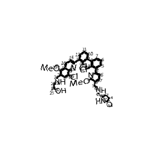 COc1nc(-c2cccc(-c3cccc(-c4ccc5c(OC)c(CNC[C@@H](C)O)cc(Cl)c5n4)c3Cl)c2Cl)ccc1CNC[C@@H]1CCC(=O)N1